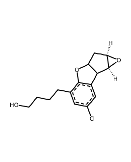 OCCCCc1cc(Cl)cc2c1OC1C[C@H]3O[C@H]3C21